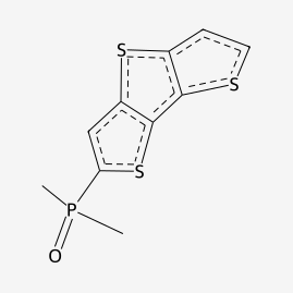 CP(C)(=O)c1cc2sc3ccsc3c2s1